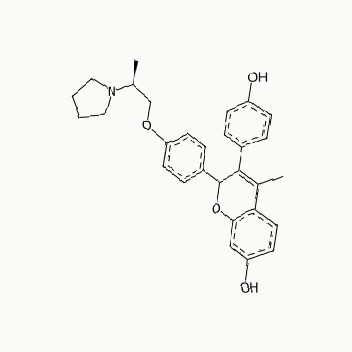 CC1=C(c2ccc(O)cc2)C(c2ccc(OC[C@H](C)N3CCCC3)cc2)Oc2cc(O)ccc21